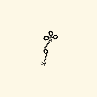 CC(=O)SCCCCc1ccc(CCCCCC[PH](c2ccccc2)(c2ccccc2)c2ccccc2)cc1